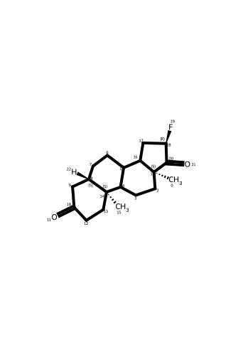 C[C@]12CCC3C(CC[C@H]4CC(=O)CC[C@]34C)C1C[C@@H](F)C2=O